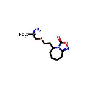 N[C@@H](CSCCC1CCCCc2noc(=O)n21)C(=O)O